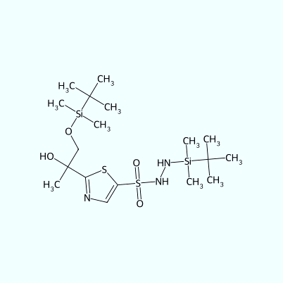 CC(O)(CO[Si](C)(C)C(C)(C)C)c1ncc(S(=O)(=O)NN[Si](C)(C)C(C)(C)C)s1